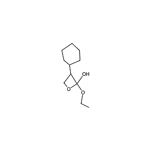 CCOC1(O)OCC1C1CCCCC1